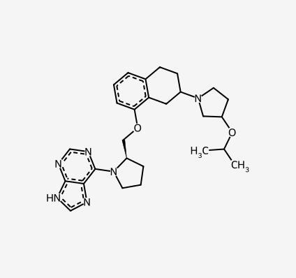 CC(C)OC1CCN(C2CCc3cccc(OC[C@H]4CCCN4c4ncnc5[nH]cnc45)c3C2)C1